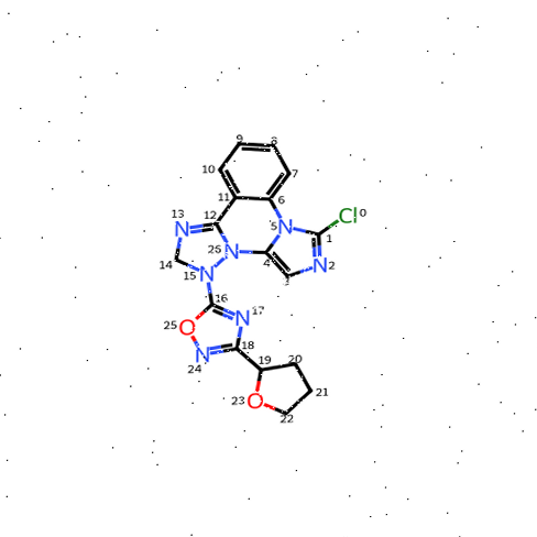 Clc1ncc2n1-c1ccccc1C1=NCN(c3nc(C4CCCO4)no3)N12